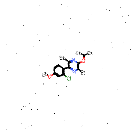 CCOc1ccc(-c2nc(CC)c(OC(CC)CC)nc2CC)c(Cl)c1